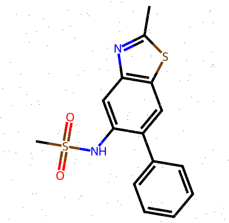 Cc1nc2cc(NS(C)(=O)=O)c(-c3ccccc3)cc2s1